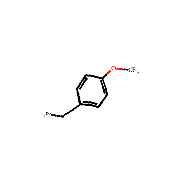 C[C](C)Cc1ccc(OC(F)(F)F)cc1